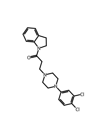 O=C(CCN1CCN(c2ccc(Cl)c(Cl)c2)CC1)N1CCc2ccccc21